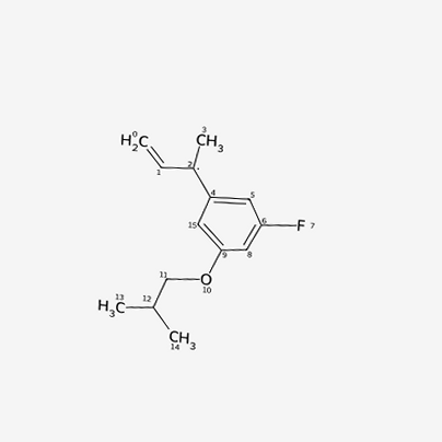 C=C[C](C)c1cc(F)cc(OCC(C)C)c1